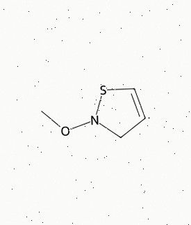 CON1C[C]=CS1